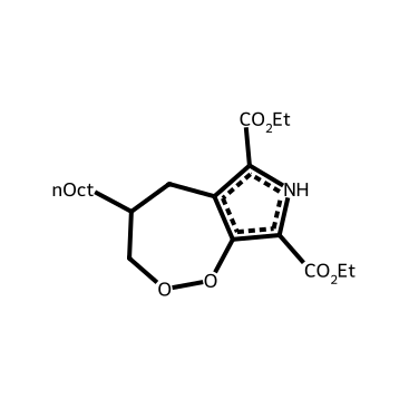 CCCCCCCCC1COOc2c(C(=O)OCC)[nH]c(C(=O)OCC)c2C1